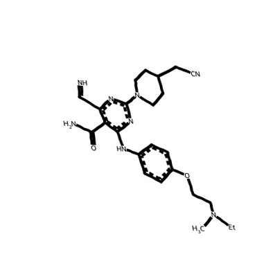 CCN(C)CCOc1ccc(Nc2nc(N3CCC(CC#N)CC3)nc(C=N)c2C(N)=O)cc1